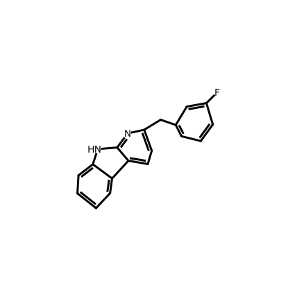 Fc1cccc(Cc2ccc3c(n2)[nH]c2ccccc23)c1